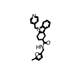 Cc1ccc(CNC(=O)C2CCc3c(c4ccccc4n3Cc3ccncc3)C2)o1